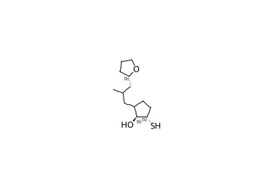 CC(CC1CC[C@H](S)[C@H]1O)C[C@@H]1CCCO1